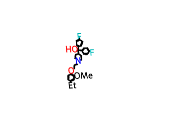 CCc1ccc(OCCCN2CCC(C(O)(c3ccc(F)cc3)c3ccc(F)cc3)CC2)c(OC)c1